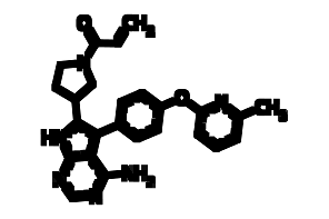 C=CC(=O)N1CCC(c2[nH]c3ncnc(N)c3c2-c2ccc(Oc3cccc(C)n3)cc2)C1